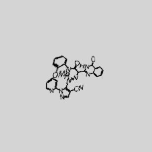 COc1ccccc1NC(=O)C(N=Nc1c(C#N)cnn1-c1ccccn1)c1nc2ccccc2c(=O)[nH]1